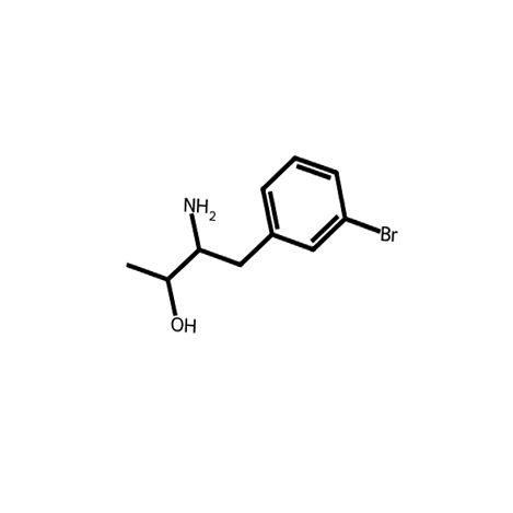 CC(O)C(N)Cc1cccc(Br)c1